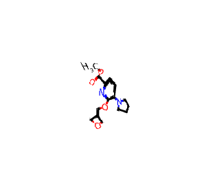 COC(=O)c1ccc(N2CCCC2)c(OCC2COC2)n1